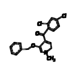 CN1C=C(OCc2ccccc2)C(C(=O)c2ccc(Cl)cc2Cl)=CC1